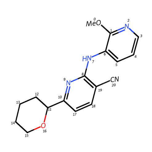 COc1ncccc1Nc1nc(C2CCCCO2)ccc1C#N